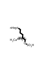 CCCCCCCCCCCCOS(=O)(=O)O.[AlH3].[CaH2].[MgH2]